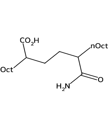 CCCCCCCCC(CCC(CCCCCCCC)C(=O)O)C(N)=O